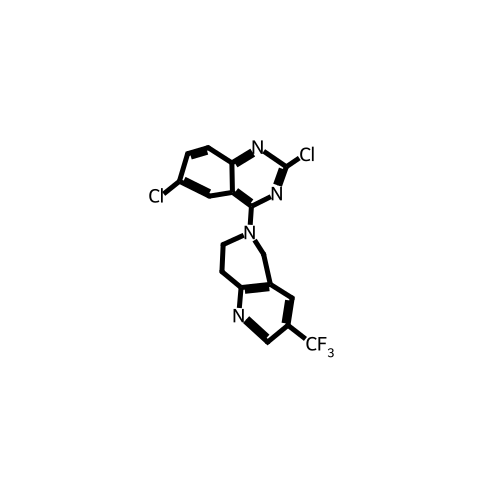 FC(F)(F)c1cnc2c(c1)CN(c1nc(Cl)nc3ccc(Cl)cc13)CC2